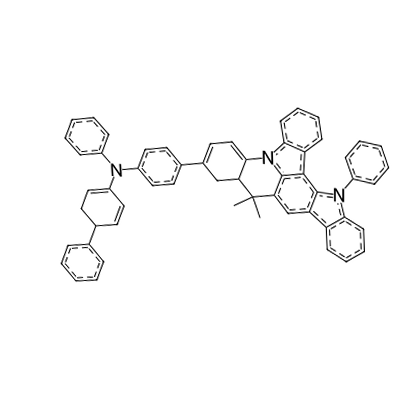 CC1(C)c2cc3c4ccccc4n(-c4ccccc4)c3c3c4ccccc4n(c23)C2=CC=C(c3ccc(N(C4=CCC(c5ccccc5)C=C4)c4ccccc4)cc3)CC21